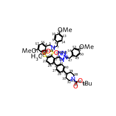 COc1ccc(CN(Cc2ccc(OC)cc2)S(=O)(=O)c2c([S+](C)[O-])ccc(-c3ccc(C4CCN(C(=O)OC(C)(C)C)CC4)cc3)c2-c2nnn(Cc3ccc(OC)cc3)n2)cc1